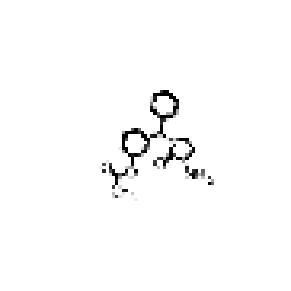 N[C@H]1CCN(C(c2ccccc2)c2cccc(OC(=O)C(F)(F)F)c2)C1=O